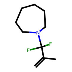 C=C(C)C(F)(F)N1CCCCCC1